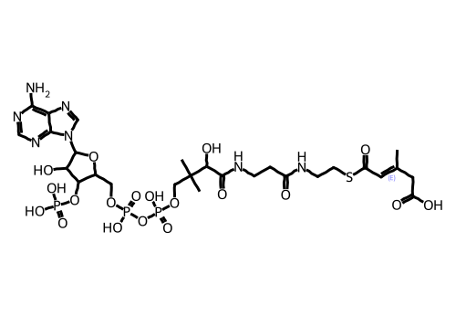 C/C(=C\C(=O)SCCNC(=O)CCNC(=O)C(O)C(C)(C)COP(=O)(O)OP(=O)(O)OCC1OC(n2cnc3c(N)ncnc32)C(O)C1OP(=O)(O)O)CC(=O)O